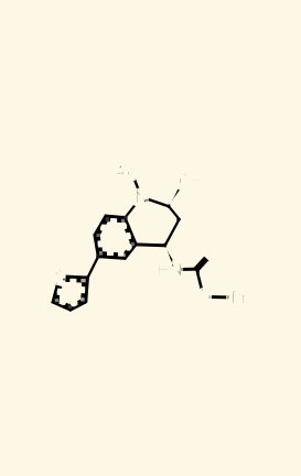 CC(=O)N1c2ccc(-c3cccs3)cc2[C@H](NC(=O)OC(C)C)C[C@@H]1C